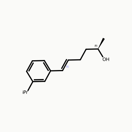 CC(C)c1cccc(/C=C/CC[C@@H](C)O)c1